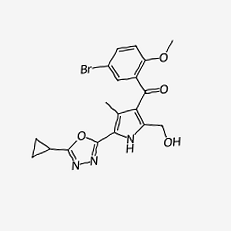 COc1ccc(Br)cc1C(=O)c1c(CO)[nH]c(-c2nnc(C3CC3)o2)c1C